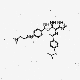 C=N/C(N)=C(\N=C(/C)c1ccc(SC(C)C)cc1)C(=N)OC(=N)c1ccc(CNCCN(C)C)cc1